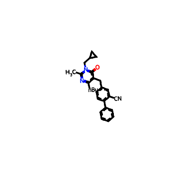 CCCCc1nc(C)n(CC2CC2)c(=O)c1Cc1ccc(-c2ccccc2)c(C#N)c1